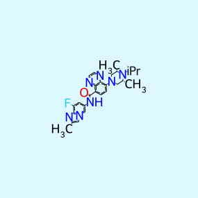 Cc1cn2cc(NC(=O)c3ccc(N4C[C@@H](C)N(C(C)C)[C@@H](C)C4)c4nccnc34)cc(F)c2n1